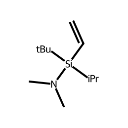 C=C[Si](C(C)C)(N(C)C)C(C)(C)C